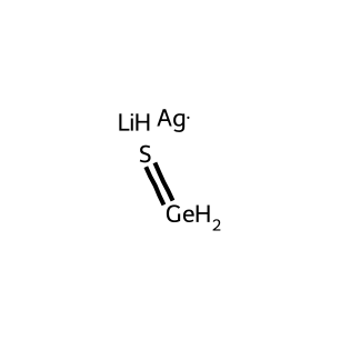 [Ag].[LiH].[S]=[GeH2]